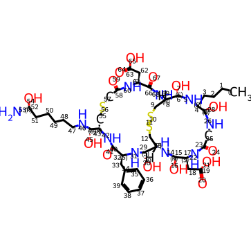 CCCC[C@@H]1N[C@@H](O)[C@@H]2CSSC[C@H](N[C@H](O)[C@H](CC(=O)O)NC(=O)CN[C@@H]1O)[C@H](O)N[C@@H](Cc1ccccc1)C(=O)N[C@H]([C@H](O)NCCCCC[C@H](N)O)CSCC(=O)N[C@@H](CC(=O)O)C(=O)N2